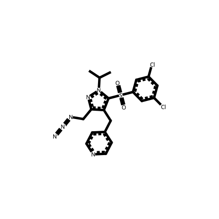 CC(C)n1nc(CN=[N+]=[N-])c(Cc2ccncc2)c1S(=O)(=O)c1cc(Cl)cc(Cl)c1